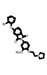 COc1cc(N2C(=O)c3ccc(Oc4ccccc4Br)cc3C2=O)ccc1OCCN1CCCC1